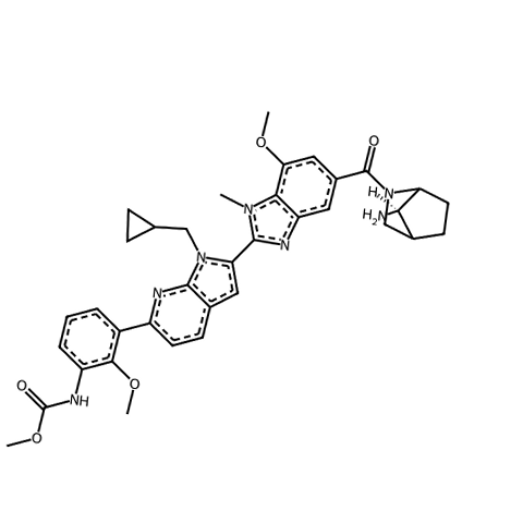 COC(=O)Nc1cccc(-c2ccc3cc(-c4nc5cc(C(=O)N6CC7CCC6[C@@H]7N)cc(OC)c5n4C)n(CC4CC4)c3n2)c1OC